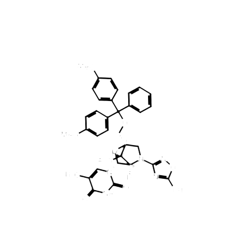 COc1ccc(C(OC[C@@]23CN(c4noc(C)n4)[C@@H]([C@H](n4cc(C)c(=O)[nH]c4=O)O2)[C@@H]3OC(C)=O)(c2ccccc2)c2ccc(OC)cc2)cc1